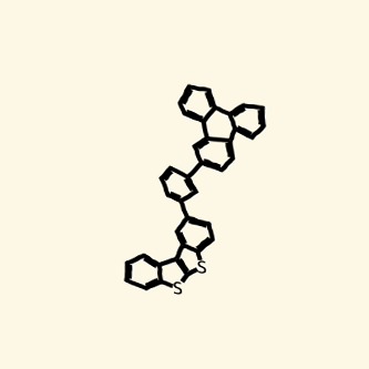 c1cc(-c2ccc3c4ccccc4c4ccccc4c3c2)cc(-c2ccc3sc4sc5ccccc5c4c3c2)c1